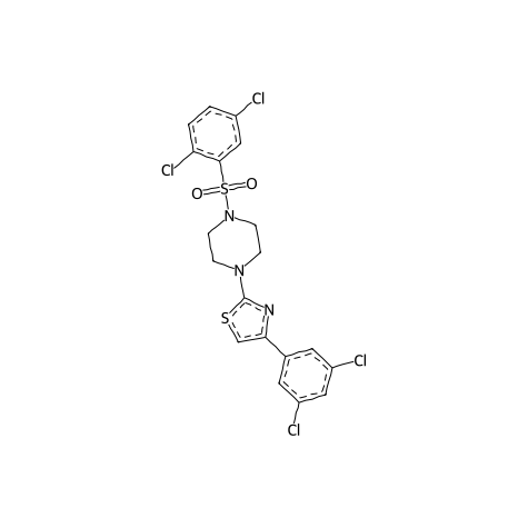 O=S(=O)(c1cc(Cl)ccc1Cl)N1CCN(c2nc(-c3cc(Cl)cc(Cl)c3)cs2)CC1